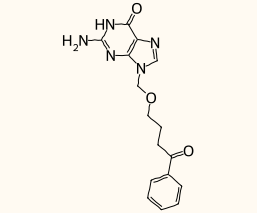 Nc1nc2c(ncn2COCCCC(=O)c2ccccc2)c(=O)[nH]1